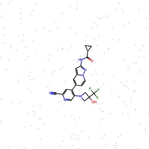 N#Cc1cc(-c2ccn3nc(NC(=O)C4CC4)cc3c2)c(N2CC(O)(C(F)(F)F)C2)cn1